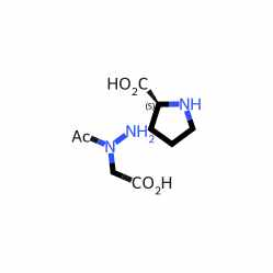 CC(=O)N(N)CC(=O)O.O=C(O)[C@@H]1CCCN1